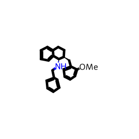 COc1ccccc1C[C@@H]1CCc2ccccc2[C@H]1NCc1ccccc1